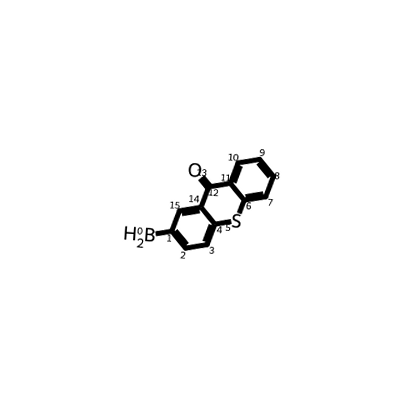 Bc1ccc2sc3ccccc3c(=O)c2c1